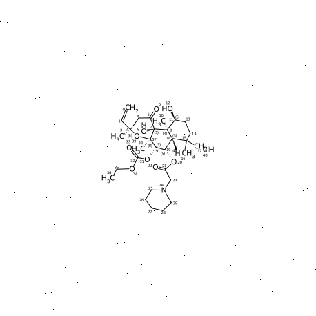 C=C[C@@]1(C)CC(=O)[C@]2(O)[C@@]3(C)[C@@H](O)CCC(C)(C)[C@@H]3[C@H](OC(=O)CN3CCCCC3)[C@H](OC(=O)OCC)[C@@]2(C)O1.Cl